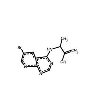 C=C(O)C(C)Nc1ncnc2ncc(Br)cc12